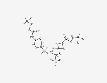 CC(C)(C)OCC(=O)NC1CCN(C(C)(C)CC2CC3(CC(C(=O)COC(C)(C)C)C3)CN2C(C)(C)C)CC1